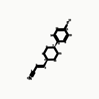 N#CC=C[C@H]1CC[C@H](c2ccc(F)cc2)CC1